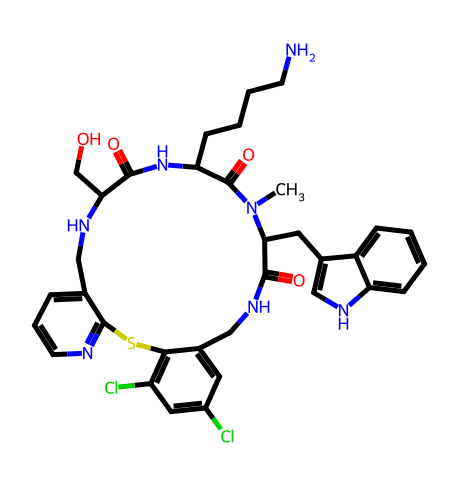 CN1C(=O)C(CCCCN)NC(=O)C(CO)NCc2cccnc2Sc2c(Cl)cc(Cl)cc2CNC(=O)C1Cc1c[nH]c2ccccc12